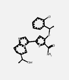 CC(O)c1ccc2ncc(-c3cc(OC(C)c4ccccc4Cl)c(C(N)=O)s3)n2c1